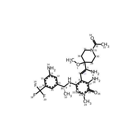 COC1(/C(N)=C/c2c(N[C@H](C)c3cc(N)cc(C(F)(F)F)c3)nn(C)c(=O)c2N)CCN(C(C)=O)CC1